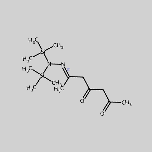 CC(=O)CC(=O)C/C(C)=N/N([Si](C)(C)C)[Si](C)(C)C